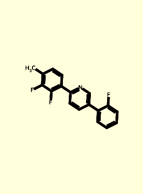 Cc1ccc(-c2ccc(-c3ccccc3F)cn2)c(F)c1F